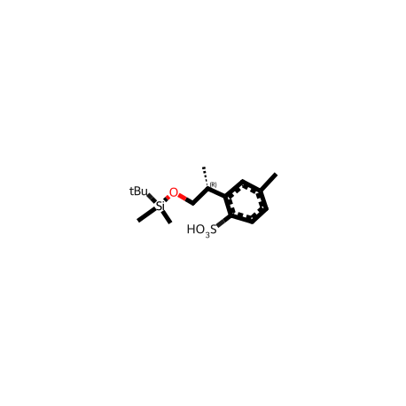 Cc1ccc(S(=O)(=O)O)c([C@@H](C)CO[Si](C)(C)C(C)(C)C)c1